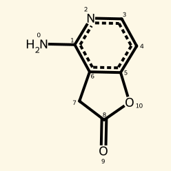 Nc1nccc2c1CC(=O)O2